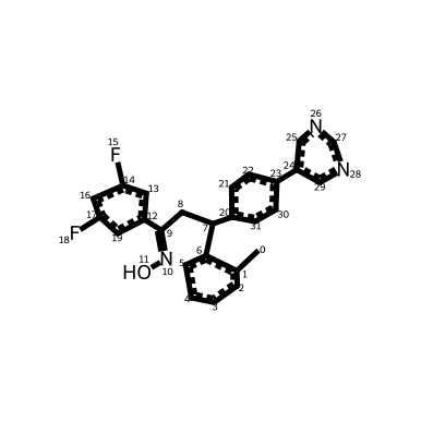 Cc1ccccc1C(C/C(=N/O)c1cc(F)cc(F)c1)c1ccc(-c2cncnc2)cc1